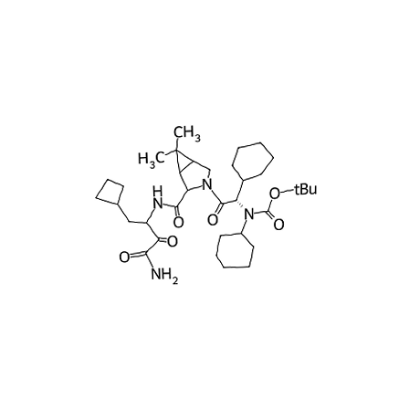 CC(C)(C)OC(=O)N(C1CCCCC1)[C@H](C(=O)N1CC2C(C1C(=O)NC(CC1CCC1)C(=O)C(N)=O)C2(C)C)C1CCCCC1